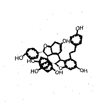 OC1=CC(C2c3c(CCc4ccc(O)cc4)cc(O)cc3O[C@@H]2c2ccc(O)cc2)=C2C(C1)O[C@@H](c1ccc(O)cc1)[C@@H]2c1cc(O)cc(O)c1